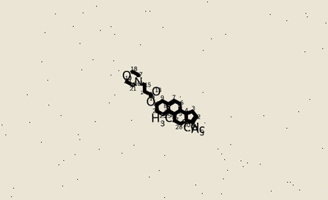 CC(=O)C1=CCC2C3CC=C4CC(OC(=O)CCN5CCOCC5)CCC4(C)C3CCC12C